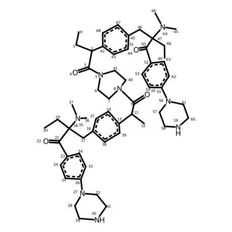 CCC(C(=O)N1CCN(C(=O)C(C)c2ccc(CC(CC)(C(=O)c3ccc(N4CCNCC4)cc3)N(C)C)cc2)CC1)c1ccc(CC(CC)(C(=O)c2ccc(N3CCNCC3)cc2)N(C)C)cc1